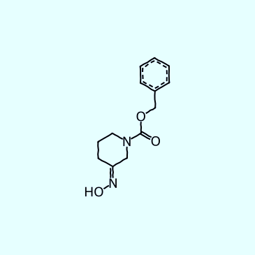 O=C(OCc1ccccc1)N1CCCC(=NO)C1